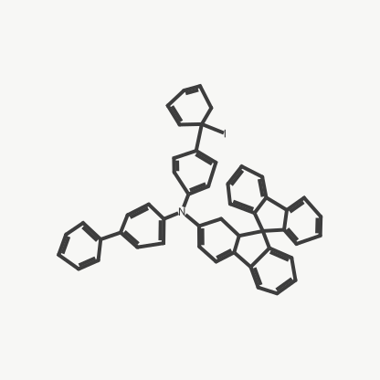 IC1(c2ccc(N(C3=CC=C4c5ccccc5C5(c6ccccc6-c6ccccc65)C4C3)c3ccc(-c4ccccc4)cc3)cc2)C=CC=CC1